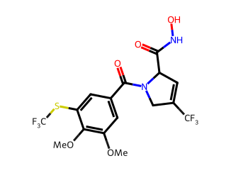 COc1cc(C(=O)N2CC(C(F)(F)F)=CC2C(=O)NO)cc(SC(F)(F)F)c1OC